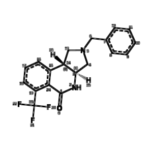 O=C1N[C@@H]2CN(Cc3ccccc3)C[C@H]2c2cccc(C(F)(F)F)c21